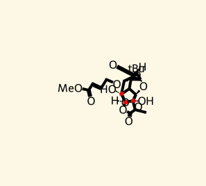 COC(=O)/C=C/CO[C@H]1C(=O)O[C@@H]2C13[C@]21O[C@]24C(=O)OC(C[C@H]1C(C)(C)C)[C@]32[C@@H](O)[C@@H]1OC(=O)C(C)[C@@]14O